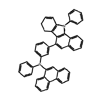 C1=Cc2c(c3c(-c4cccc(N(c5ccccc5)c5cc6ccccc6c6ccccc56)c4)cc4ccccc4c3n2-c2ccccc2)CC1